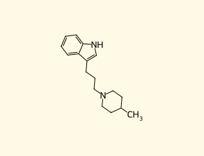 CC1CCN(CCCc2c[nH]c3ccccc23)CC1